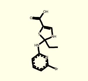 CCC1(Nc2cccc(Br)n2)NC=C(C(=O)O)S1